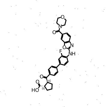 O=C(O)[C@H]1CCC[C@@H]1C(=O)c1ccc(-c2ccc(Nc3nc4ccc(C(=O)N5CCOCC5)cc4o3)c(F)c2)cc1